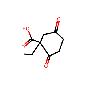 CCC1(C(=O)O)CC(=O)CCC1=O